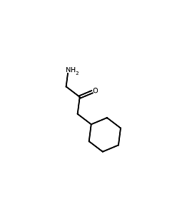 NCC(=O)CC1CCCCC1